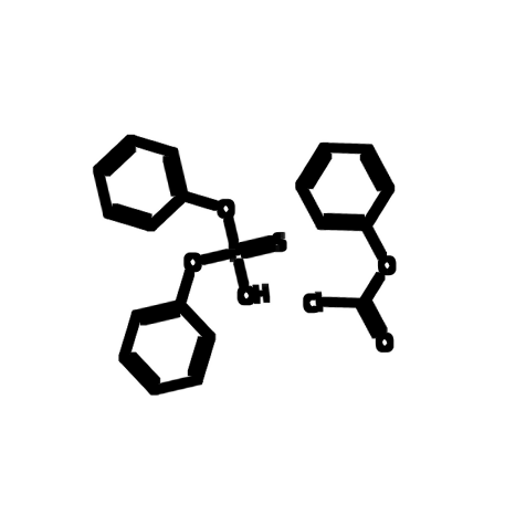 O=C(Cl)Oc1ccccc1.OP(=S)(Oc1ccccc1)Oc1ccccc1